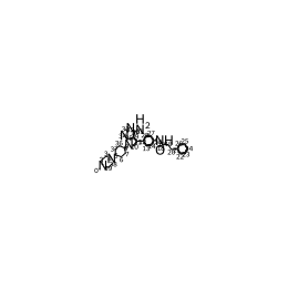 CN1CCN([C@H]2CC[C@H](n3cc(-c4ccc(NC(=O)CCc5ccccc5)cc4)c4c(N)ncnc43)CC2)CC1